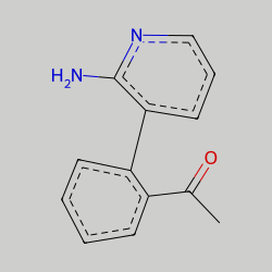 CC(=O)c1ccccc1-c1cccnc1N